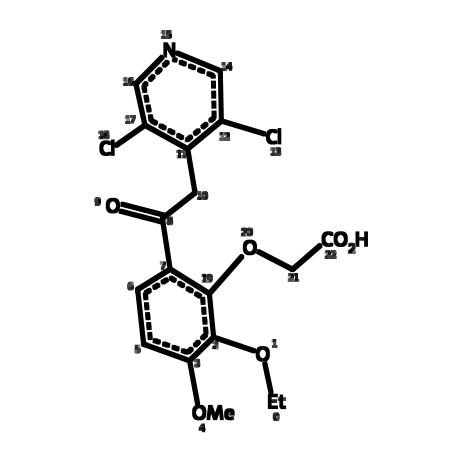 CCOc1c(OC)ccc(C(=O)Cc2c(Cl)cncc2Cl)c1OCC(=O)O